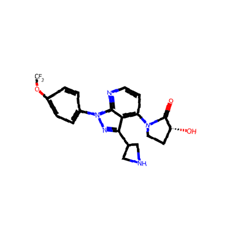 O=C1[C@H](O)CCN1c1ccnc2c1c(C1CNC1)nn2-c1ccc(OC(F)(F)F)cc1